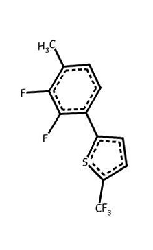 Cc1ccc(-c2ccc(C(F)(F)F)s2)c(F)c1F